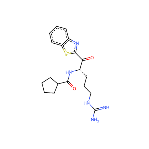 N=C(N)NCCC[C@H](NC(=O)C1CCCC1)C(=O)c1nc2ccccc2s1